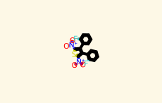 O=[N+]([O-])c1sc([N+](=O)[O-])c(-c2ccccc2F)c1-c1ccccc1F